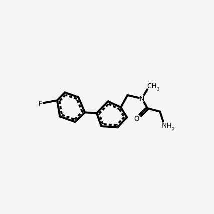 CN(Cc1cccc(-c2ccc(F)cc2)c1)C(=O)CN